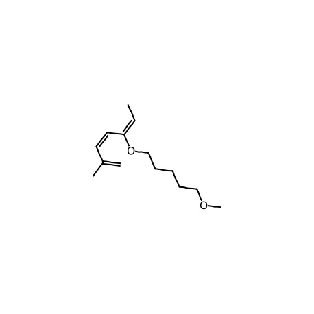 C=C(C)/C=C\C(=C/C)OCCCCCOC